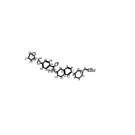 CC(C)(C)CN1CCC[C@H](c2ccc3c(c2)CC[C@H](NC(=O)c2ccc(OC[C@@H]4CCCO4)cc2)C3)C1